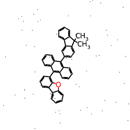 CC1(C)c2ccccc2-c2cc(-c3c4ccccc4c(-c4cccc5c4oc4ccccc45)c4ccccc34)ccc21